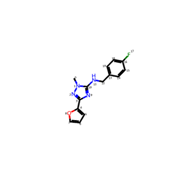 Cn1nc(-c2ccco2)nc1NCc1ccc(F)cc1